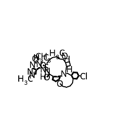 COc1nc(NS2(=O)=NC(=O)c3ccc4c(c3)N(Cc3ccc(Cl)cc3CCCCO4)C[C@@H]3CC[C@H]3[C@@H](OC)/C=C/C[C@H](C)C2)c2cn(C)nc2n1